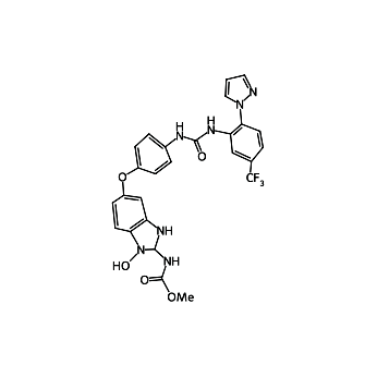 COC(=O)NC1Nc2cc(Oc3ccc(NC(=O)Nc4cc(C(F)(F)F)ccc4-n4cccn4)cc3)ccc2N1O